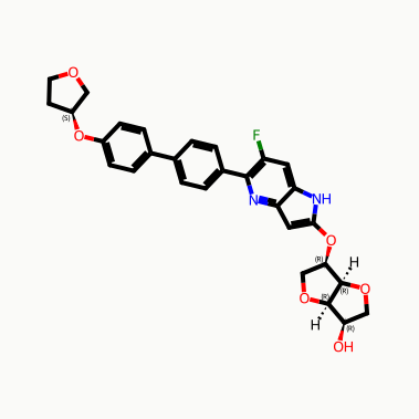 O[C@@H]1CO[C@H]2[C@@H]1OC[C@H]2Oc1cc2nc(-c3ccc(-c4ccc(O[C@H]5CCOC5)cc4)cc3)c(F)cc2[nH]1